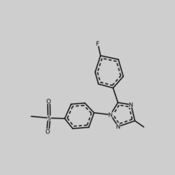 Cc1nc(-c2ccc(F)cc2)n(-c2ccc(S(C)(=O)=O)cc2)n1